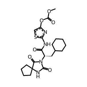 COC(=O)Oc1csc(NC(=O)[C@H](CC2CCCCC2)N2C(=O)NC3(CCCC3)C2=O)n1